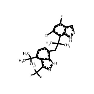 CC(C)(C)c1ccc(CC(C)(C)c2c(Cl)cc(F)c3cn[nH]c23)c2[nH]nc(C(F)(F)F)c12